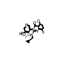 O=C(O)N(CC1CC1)c1nc2c(F)ccc(Cl)c2c(=O)n1-c1cncc(F)c1